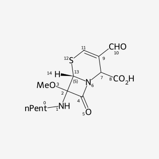 CCCCCNC1(OC)C(=O)N2C(C(=O)O)C(C=O)=CS[C@H]21